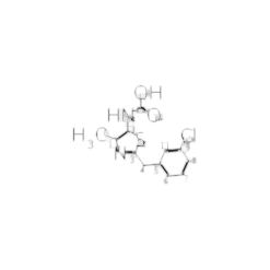 Cc1nc(Cc2cccc(Cl)c2)sc1NC(=O)O